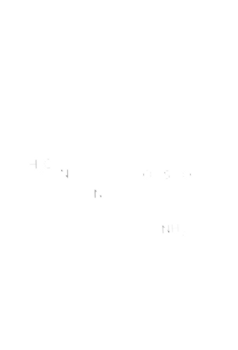 CN1CCN(c2ccc(N)c(CS(=O)(=O)c3cccc4ccccc34)c2)CC1